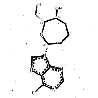 OC[C@H]1O[C@@H](n2cnc3c(Cl)ncnc32)CCC[C@@H]1O